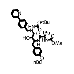 CCCCOc1ccc(CC(NC(=O)C(NC(=O)OC)C(C)(C)C)C(O)CN(Cc2ccc(-c3ccccn3)cc2)NC(=O)OC(C)(C)C)cc1